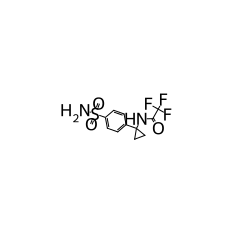 NS(=O)(=O)c1ccc(C2(NC(=O)C(F)(F)F)CC2)cc1